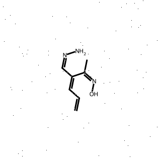 C=C/C=C(/C=N\N)C(\C)=N/O